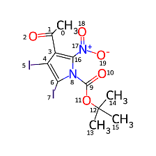 CC(=O)c1c(I)c(I)n(C(=O)OC(C)(C)C)c1[N+](=O)[O-]